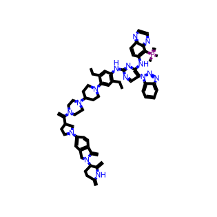 C=C1CCC(N2Cc3cc(N4CCC(C(=C)N5CCN(C6CCN(c7cc(CC)c(Nc8ncc(-n9nnc%10ccccc%109)c(Nc9ccc%10nccnc%10c9P(=C)(C)C)n8)cc7CC)CC6)CC5)C4)ccc3C2=C)C(=C)N1